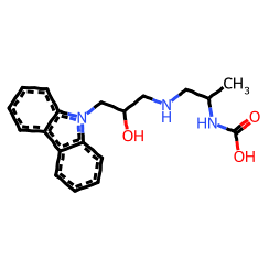 CC(CNCC(O)Cn1c2ccccc2c2ccccc21)NC(=O)O